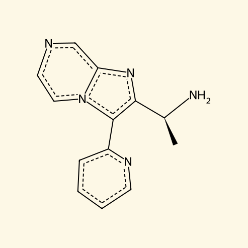 C[C@H](N)c1nc2cnccn2c1-c1ccccn1